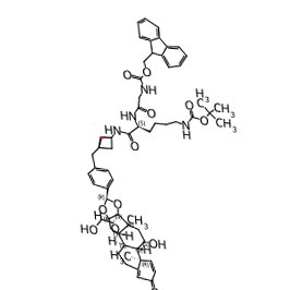 CC(C)(C)OC(=O)NCCCC[C@H](NC(=O)CNC(=O)OCC1c2ccccc2-c2ccccc21)C(=O)NC12CC(Cc3ccc([C@@H]4O[C@@H]5C[C@H]6[C@@H]7CCC8=CC(=O)C=C[C@]8(C)[C@H]7[C@@H](O)C[C@]6(C)[C@]5(C(=O)CO)O4)cc3)(C1)C2